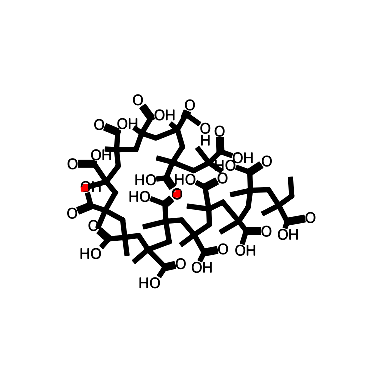 CCC(C)(CC(C)(CC(C)(CC(C)(CC(C)(CC(C)(CC(C)(CC(C)(CC(C)(CC(C)(CC(C)(CC(C)(CC(C)(CC(C)(CC(C)(C)C(=O)O)C(=O)O)C(=O)O)C(=O)O)C(=O)O)C(=O)O)C(=O)O)C(=O)O)C(=O)O)C(=O)O)C(=O)O)C(=O)O)C(=O)O)C(=O)O)C(=O)O